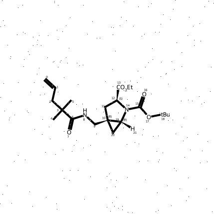 C=CCC(C)(C)C(=O)NC[C@@]12C[C@@H](C(=O)OCC)N(C(=O)OC(C)(C)C)[C@@H]1C2